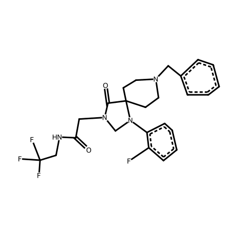 O=C(CN1CN(c2ccccc2F)C2(CCN(Cc3ccccc3)CC2)C1=O)NCC(F)(F)F